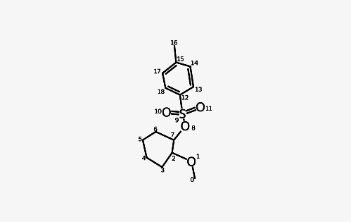 COC1CCCCC1OS(=O)(=O)c1ccc(C)cc1